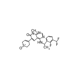 CC(Nc1ncnc2c1cc(C1=CC[S+]([O-])CC1)c(=O)n2C)c1cccc(C(F)F)c1F